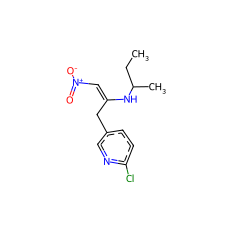 CCC(C)NC(=C[N+](=O)[O-])Cc1ccc(Cl)nc1